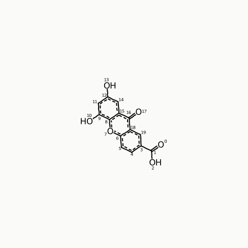 O=C(O)c1ccc2oc3c(O)cc(O)cc3c(=O)c2c1